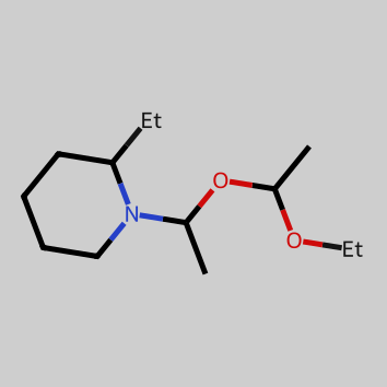 CCOC(C)OC(C)N1CCCCC1CC